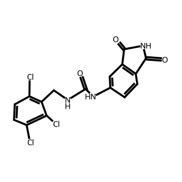 O=C(NCc1c(Cl)ccc(Cl)c1Cl)Nc1ccc2c(c1)C(=O)NC2=O